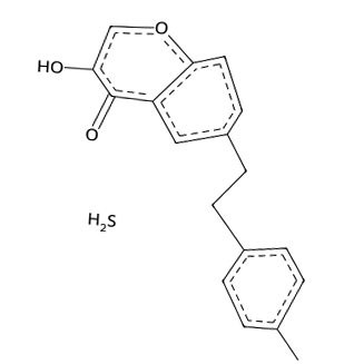 Cc1ccc(CCc2ccc3occ(O)c(=O)c3c2)cc1.S